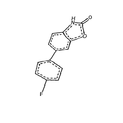 O=c1[nH]c2ccc(-c3ccc(F)cc3)cc2o1